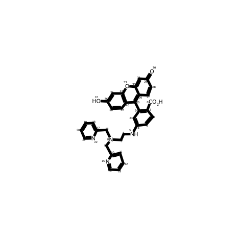 O=C(O)c1ccc(NCCN(Cc2ccccn2)Cc2ccccn2)cc1-c1c2ccc(=O)cc-2oc2cc(O)ccc12